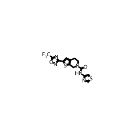 O=C(Nc1cscn1)N1CCc2cc(-c3noc(C(F)(F)F)n3)sc2C1